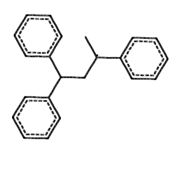 C[C](CC(c1ccccc1)c1ccccc1)c1ccccc1